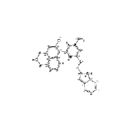 Nc1nc(SCN2C=C3C=CC=CC3N2)nc(-c2c(Cl)cc3c4c(cccc24)COC3)n1